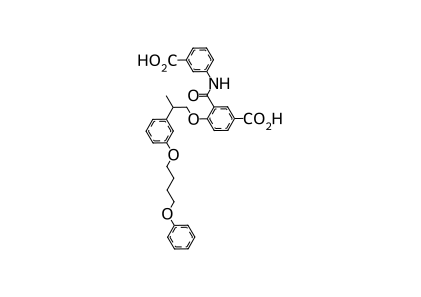 CC(COc1ccc(C(=O)O)cc1C(=O)Nc1cccc(C(=O)O)c1)c1cccc(OCCCCOc2ccccc2)c1